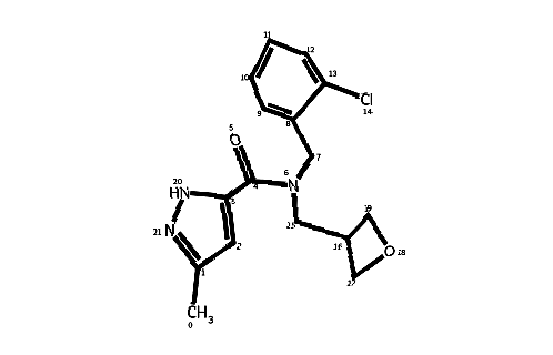 Cc1cc(C(=O)N(Cc2ccccc2Cl)CC2COC2)[nH]n1